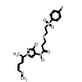 C=N/C=C\C=C(/C)n1cc(N(CC)C(=O)CCSCCS(=O)(=O)c2ccc(F)cc2)c(Cl)n1